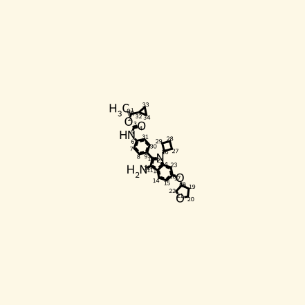 C[C@@H](OC(=O)Nc1ccc(-c2c(N)c3ccc(O[C@H]4CCOC4)cc3n2C2CCC2)cc1)C1CC1